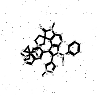 CCC1([S+]([O-])N2CCC3(C2)C(=O)N(C)c2cnc4c(c(-c5ccc6c(cnn6C)c5)c(-c5cnn(C)c5)n4[S+]([O-])c4ccccc4)c23)CC1